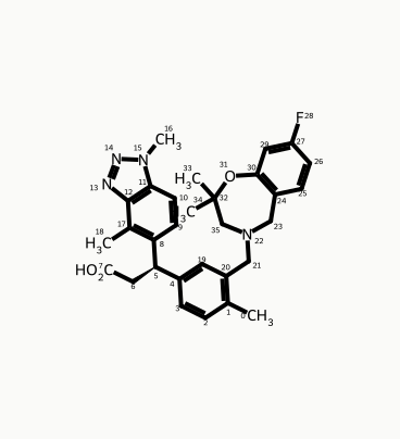 Cc1ccc([C@@H](CC(=O)O)c2ccc3c(nnn3C)c2C)cc1CN1Cc2ccc(F)cc2OC(C)(C)C1